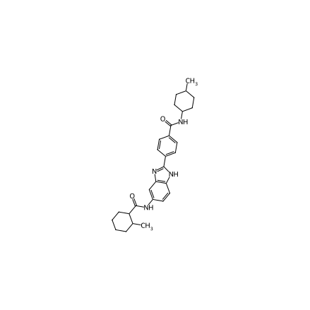 CC1CCC(NC(=O)c2ccc(-c3nc4cc(NC(=O)C5CCCCC5C)ccc4[nH]3)cc2)CC1